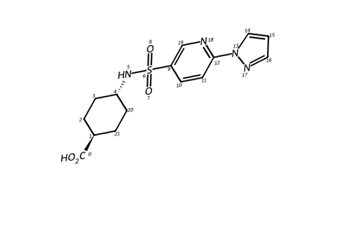 O=C(O)[C@H]1CC[C@H](NS(=O)(=O)c2ccc(-n3cccn3)nc2)CC1